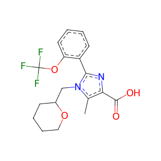 Cc1c(C(=O)O)nc(-c2ccccc2OC(F)(F)F)n1CC1CCCCO1